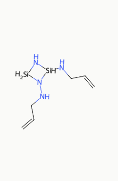 C=CCNN1[SiH2]N[SiH]1NCC=C